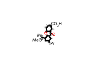 COC(c1cc(C(C)C)cc2c(=O)c3cc(C(=O)O)ccc3oc12)C(C)C